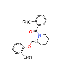 O=Cc1ccccc1OC[C@@H]1CCCCN1C(=O)c1ccccc1C=O